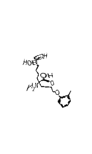 Cc1ccccc1OCCCC(N)(CCCCB(O)O)C(=O)O